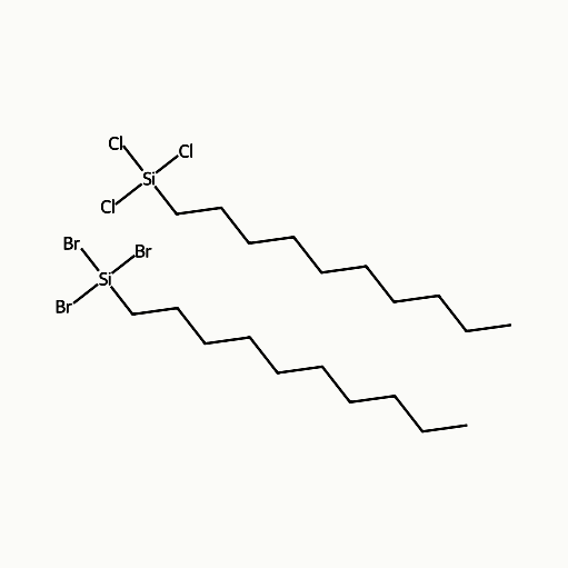 CCCCCCCCCC[Si](Br)(Br)Br.CCCCCCCCCC[Si](Cl)(Cl)Cl